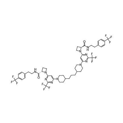 O=C(NCCc1ccc(C(F)(F)F)cc1)[C@@H]1CCN1c1cc(N2CCC(CCCC3CCN(c4cc(N5CC[C@H]5C(=O)NCCc5ccc(C(F)(F)F)cc5)nc(C(F)(F)F)n4)CC3)CC2)nc(C(F)(F)F)n1